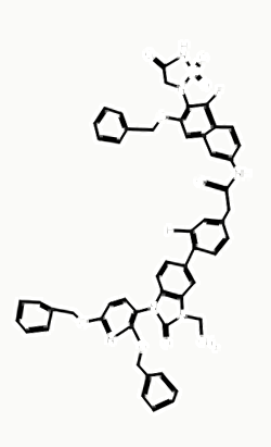 CCn1c(=O)n(-c2ccc(OCc3ccccc3)nc2OCc2ccccc2)c2ccc(-c3ccc(CC(=O)Nc4ccc5c(F)c(N6CC(=O)NS6(=O)=O)c(OCc6ccccc6)cc5c4)cc3F)cc21